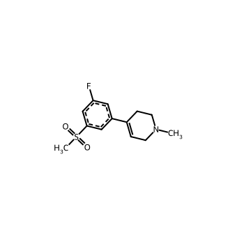 CN1CC=C(c2cc(F)cc(S(C)(=O)=O)c2)CC1